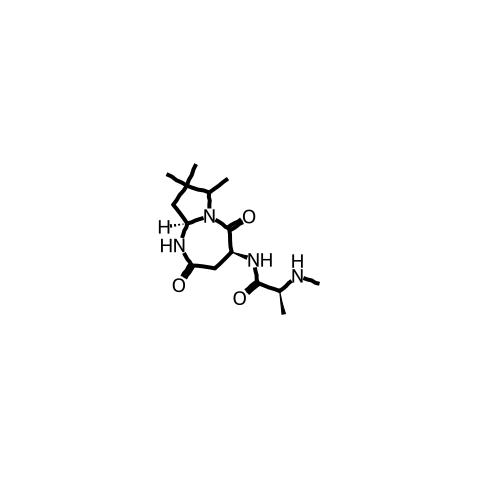 CN[C@@H](C)C(=O)N[C@H]1CC(=O)N[C@H]2CC(C)(C)C(C)N2C1=O